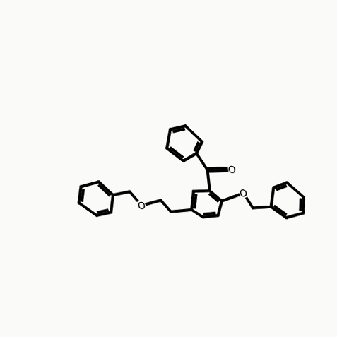 O=C(c1ccccc1)c1cc(CCOCc2ccccc2)ccc1OCc1ccccc1